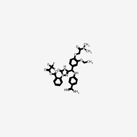 CCOc1cc(C(Nc2ccc(C(=N)N)cc2)c2nn(-c3ccccc3C(=O)OC(=O)C(F)(F)F)c(=O)[nH]2)ccc1OCC(=O)N(C)C